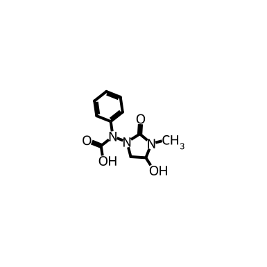 CN1C(=O)N(N(C(=O)O)c2ccccc2)CC1O